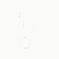 CCCCP(CCC)c1ccccc1